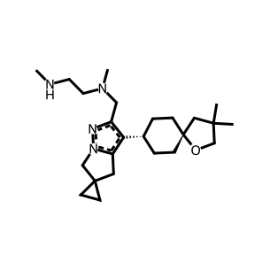 CNCCN(C)Cc1nn2c(c1[C@H]1CC[C@@]3(CC1)CC(C)(C)CO3)CC1(CC1)C2